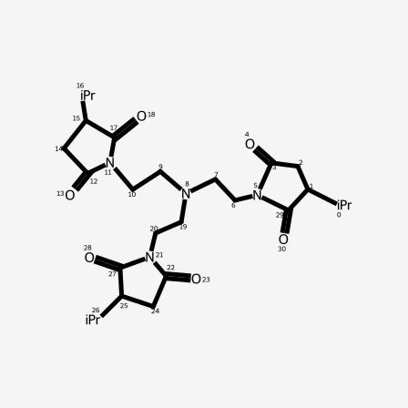 CC(C)C1CC(=O)N(CCN(CCN2C(=O)CC(C(C)C)C2=O)CCN2C(=O)CC(C(C)C)C2=O)C1=O